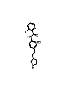 Cl.O=C(Nc1ccc(CCC2CCNC2)cc1)c1ncccc1F